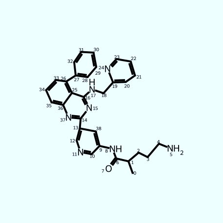 CC(CCCN)C(=O)Nc1cncc(-c2nc(NCc3ccccn3)c3c(-c4ccccc4)cccc3n2)c1